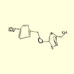 CC(C)(C)c1ccc(COc2nc(S)ns2)cc1